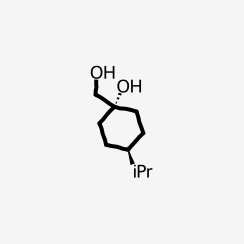 CC(C)[C@H]1CC[C@@](O)(CO)CC1